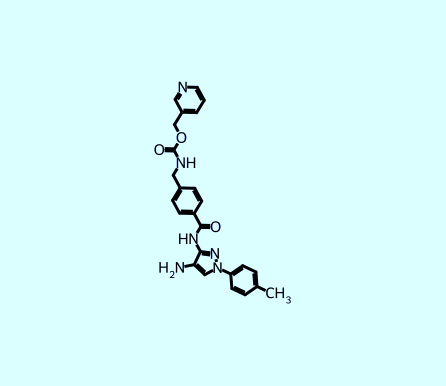 Cc1ccc(-n2cc(N)c(NC(=O)c3ccc(CNC(=O)OCc4cccnc4)cc3)n2)cc1